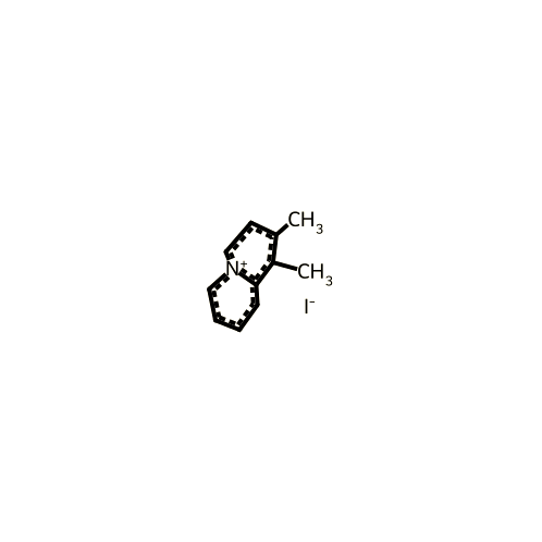 Cc1cc[n+]2ccccc2c1C.[I-]